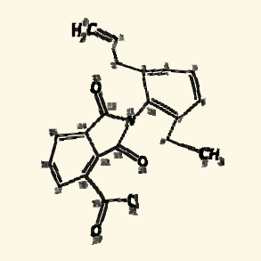 C=CCc1cccc(CC)c1N1C(=O)c2cccc(C(=O)Cl)c2C1=O